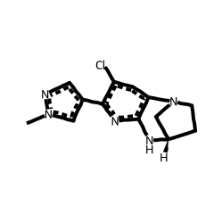 Cn1cc(-c2nc3c(cc2Cl)N2CC[C@@H](C2)N3)cn1